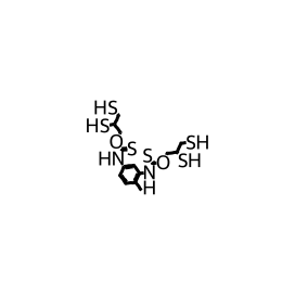 Cc1ccc(NC(=S)OCC(S)CS)cc1NC(=S)OCC(S)CS